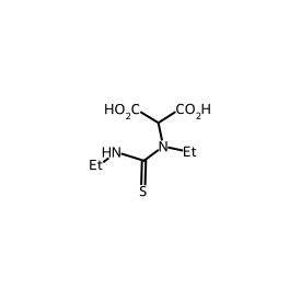 CCNC(=S)N(CC)C(C(=O)O)C(=O)O